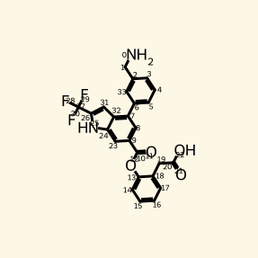 NCc1cccc(-c2cc(C(=O)Oc3ccccc3CC(=O)O)cc3[nH]c(C(F)(F)F)cc23)c1